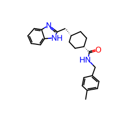 Cc1ccc(CNC(=O)[C@H]2CC[C@@H](Cc3nc4ccccc4[nH]3)CC2)cc1